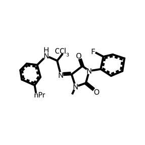 CCCc1cccc(NC(N=C2C(=O)N(c3ccccc3F)C(=O)N2C)C(Cl)(Cl)Cl)c1